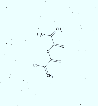 C=C(C)C(=O)OC(=O)C(=C)CC